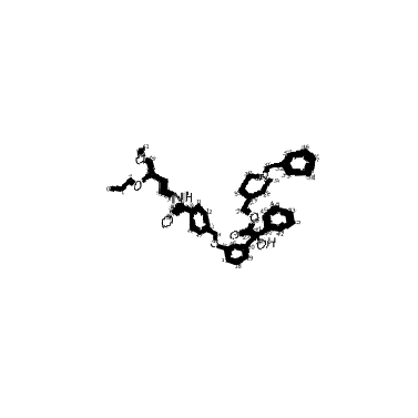 CCCOC(CCNC(=O)c1ccc(COc2cccc([C@](O)(C(=O)OCC3CCN(Cc4ccccc4)CC3)c3ccccc3)c2)cc1)COC